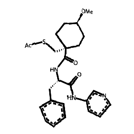 CO[C@H]1CC[C@@](CSC(C)=O)(C(=O)N[C@@H](Cc2ccccc2)C(=O)Nc2cccnc2)CC1